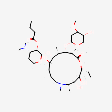 CCCC(=O)O[C@H]1[C@H](O[C@@H]2[C@@H](C)[C@H](O[C@H]3C[C@@](C)(OC)[C@@H](O)[C@H](C)O3)[C@@H](C)C(=O)O[C@H](CC)[C@@](C)(O)[C@H](O)[C@@H](C)N(C)C[C@H](C)C[C@@]2(C)O)O[C@H](C)C[C@@H]1N(C)C